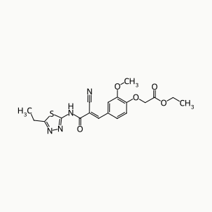 CCOC(=O)COc1ccc(/C=C(\C#N)C(=O)Nc2nnc(CC)s2)cc1OC